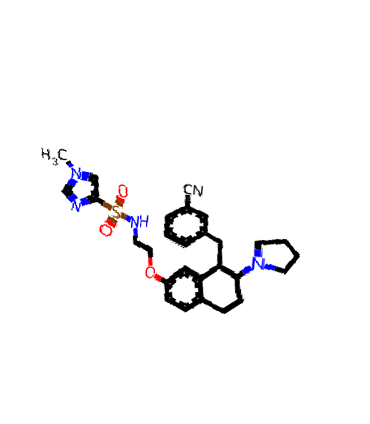 Cn1cnc(S(=O)(=O)NCCOc2ccc3c(c2)C(Cc2cccc(C#N)c2)C(N2CCCC2)CC3)c1